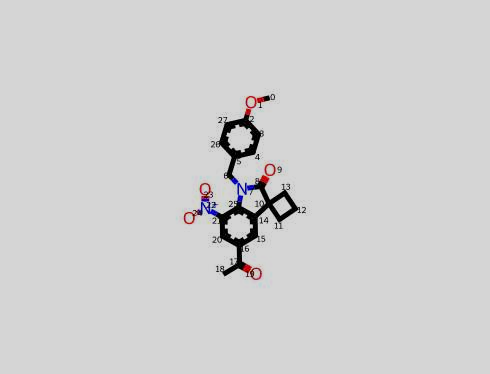 COc1ccc(CN2C(=O)C3(CCC3)c3cc(C(C)=O)cc([N+](=O)[O-])c32)cc1